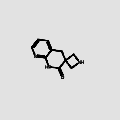 O=C1Nc2ncccc2CC12CNC2